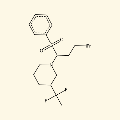 CC(C)CCC(N1CCCC(C(C)(F)F)C1)S(=O)(=O)c1ccccc1